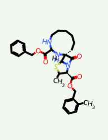 Cc1ccccc1COC(=O)[C@H]1C(C)S[C@@H]2N1C(=O)[C@@]21CCCCCCNC(C(=O)OCc2ccccc2)N1